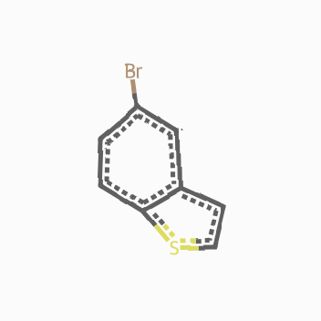 Brc1[c]c2ccsc2cc1